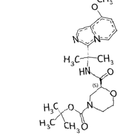 COc1cccn2c(C(C)(C)NC(=O)[C@@H]3CN(C(=O)OC(C)(C)C)CCO3)ncc12